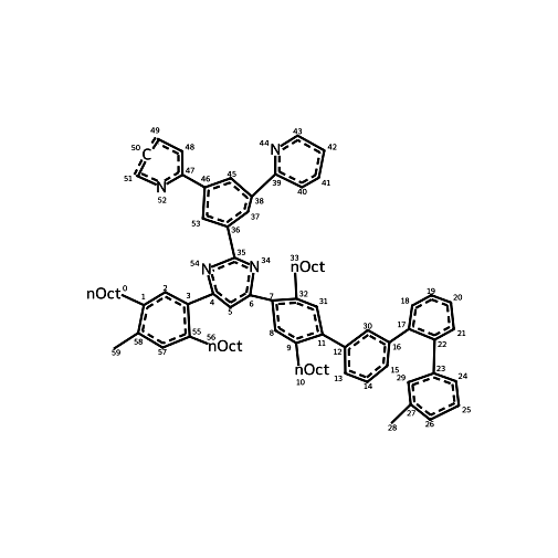 CCCCCCCCc1cc(-c2cc(-c3cc(CCCCCCCC)c(-c4cccc(-c5ccccc5-c5cccc(C)c5)c4)cc3CCCCCCCC)nc(-c3cc(-c4ccccn4)cc(-c4ccccn4)c3)n2)c(CCCCCCCC)cc1C